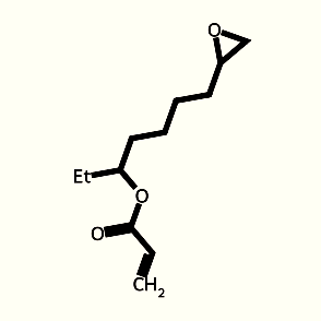 C=CC(=O)OC(CC)CCCCC1CO1